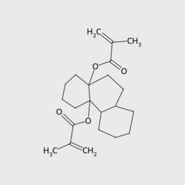 C=C(C)C(=O)OC12CCCCC1(OC(=O)C(=C)C)C1CCCCC1CC2